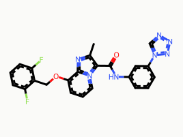 Cc1nc2c(OCc3c(F)cccc3F)cccn2c1C(=O)Nc1cccc(-n2cnnn2)c1